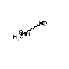 CC(=O)NCCCCCCCCCCN=C=O